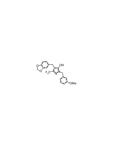 COc1cccc(Cn2nc(C(F)(F)F)c(Cc3ccc4c(c3)OCO4)c2O)c1